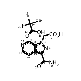 NC(=O)c1nn(CC(=O)O)c2cnccc12.O=C(O)C(F)(F)F